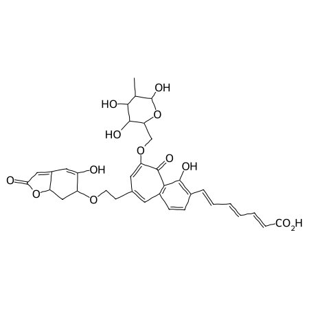 CC1C(O)OC(COc2cc(CCOC3CC4OC(=O)C=C4C=C3O)cc3ccc(/C=C/C=C/C=C/C(=O)O)c(O)c3c2=O)C(O)C1O